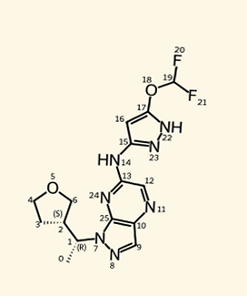 C[C@H]([C@@H]1CCOC1)n1ncc2ncc(Nc3cc(OC(F)F)[nH]n3)nc21